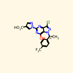 C[C@@H](c1ccc(C(F)(F)F)cc1)n1nc(Cl)c2nc(-n3cc(C(=O)O)cn3)nc(O)c21